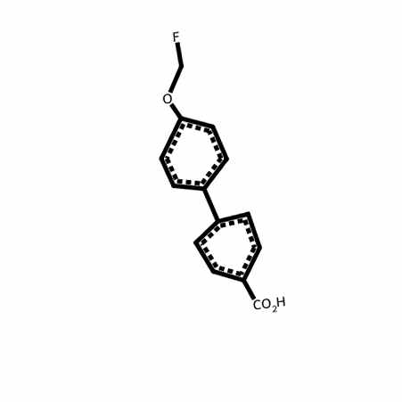 O=C(O)c1ccc(-c2ccc(OCF)cc2)cc1